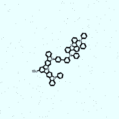 CC(C)(C)c1cc2c3cc4c5ccccc5n(-c5ccccc5)c4cc3n3c4cc5c(cc4c(c1)c23)c1ccccc1n5-c1ccc(-c2cccc(N(c3ccccc3)c3cccc4c3c3cccc5c6c(N(c7ccccc7)c7ccccc7)cccc6n4c53)c2)cc1